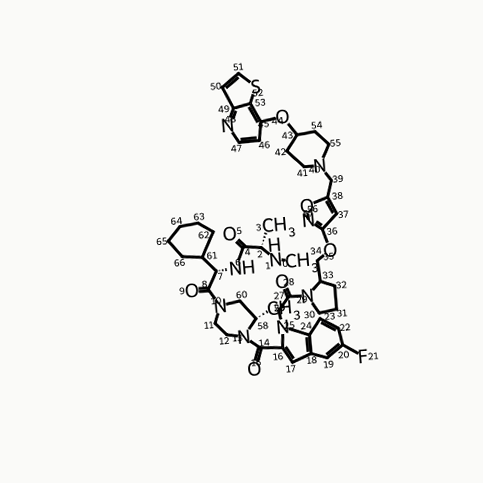 CN[C@@H](C)C(=O)N[C@H](C(=O)N1CCN(C(=O)c2cc3cc(F)ccc3n2CC(=O)N2CCCC2COc2cc(CN3CCC(Oc4ccnc5ccsc45)CC3)on2)[C@@H](C)C1)C1CCCCC1